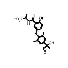 Cc1cc(C(C)(O)P=O)cc(C)c1Cc1ccc(O)c(C(=O)NC(C)C(=O)O)c1